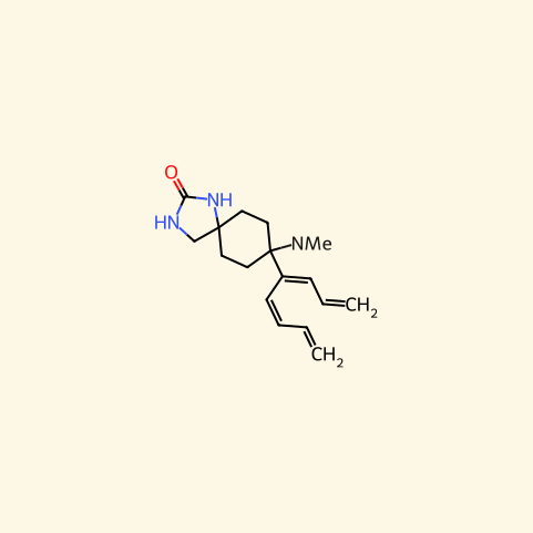 C=C/C=C\C(=C/C=C)C1(NC)CCC2(CC1)CNC(=O)N2